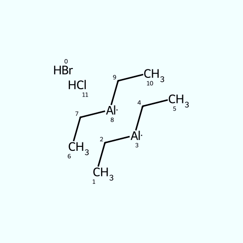 Br.C[CH2][Al][CH2]C.C[CH2][Al][CH2]C.Cl